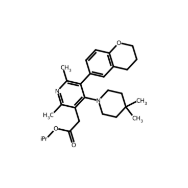 Cc1nc(C)c(-c2ccc3c(c2)CCCO3)c(N2CCC(C)(C)CC2)c1CC(=O)OC(C)C